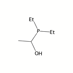 CCP(CC)C(C)O